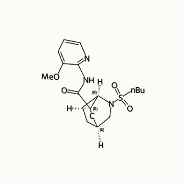 CCCCS(=O)(=O)N1C[C@H]2CC[C@@H]1[C@H](C(=O)Nc1ncccc1OC)C2